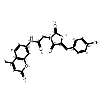 Cc1cc(=O)oc2cc(NC(=O)CN3C(=O)S/C(=C\c4ccc(Cl)cc4)C3=O)ccc12